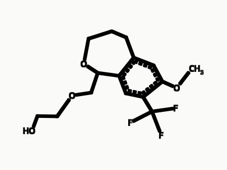 COc1cc2c(cc1C(F)(F)F)C(COCCO)OCCC2